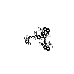 CCN1C(=CC=C2CCCC(C=CC3N(CC)c4ccc5ccccc5c4C3(C)C)=C2Oc2ccc(NC(=O)CCCC(=O)ON3C(=O)CCC3=O)cc2)C(C)(C)c2c1ccc1ccccc21